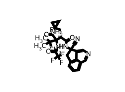 CC(C)(C)C(NC(=O)C(F)(F)F)(C(N)=O)[C@H](CC1(F)CC1)C(=O)NC1(C#N)Cc2cccc3cncc1c23